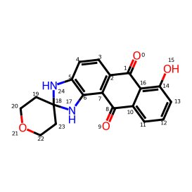 O=C1c2ccc3c(c2C(=O)c2cccc(O)c21)NC1(CCOCC1)N3